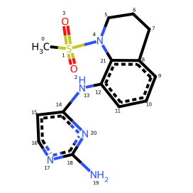 CS(=O)(=O)N1CCCc2cccc(Nc3ccnc(N)n3)c21